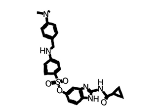 CN(C)c1ccc(CNc2ccc(S(=O)(=O)Oc3ccc4[nH]c(NC(=O)C5CC5)nc4c3)cc2)cc1